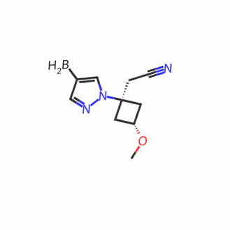 Bc1cnn([C@]2(CC#N)C[C@@H](OC)C2)c1